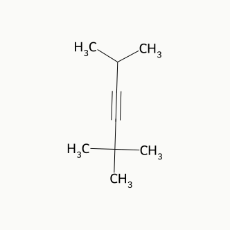 CC(C)C#CC(C)(C)C